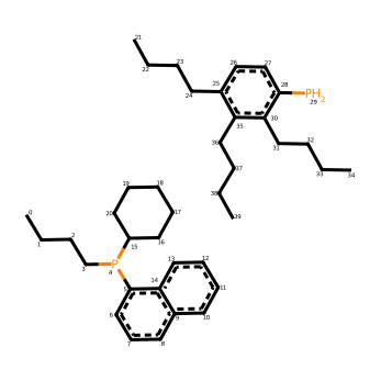 CCCCP(c1cccc2ccccc12)C1CCCCC1.CCCCc1ccc(P)c(CCCC)c1CCCC